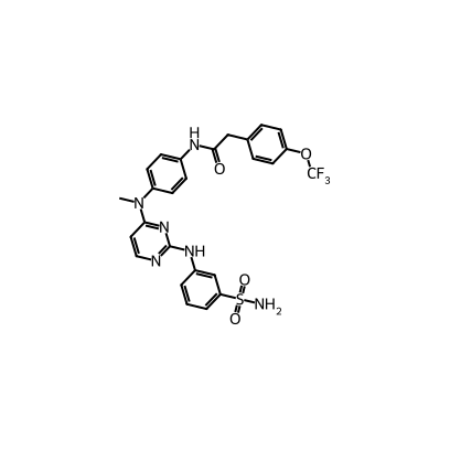 CN(c1ccc(NC(=O)Cc2ccc(OC(F)(F)F)cc2)cc1)c1ccnc(Nc2cccc(S(N)(=O)=O)c2)n1